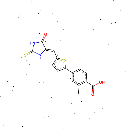 Cc1cc(-c2ccc(/C=C3\NC(=S)NC3=O)s2)ccc1C(=O)O